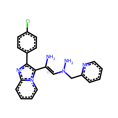 N/C(=C\N(N)Cc1ccccn1)c1c(-c2ccc(Cl)cc2)nc2ccccn12